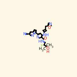 CC(C)(O)[C@H](F)CNC(=O)c1cnc(-c2ccc3cc(C#N)cnn23)cc1NC1CC(Cc2cnco2)C1